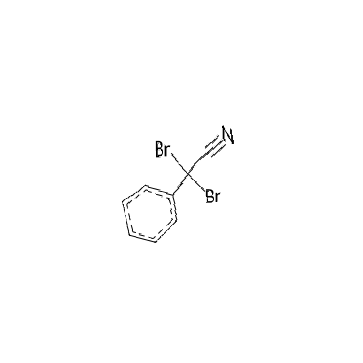 N#CC(Br)(Br)c1ccccc1